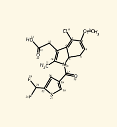 COC1=CCC2C(=C1Cl)C(CC(=O)O)=C(C)N2C(=O)c1csc(C(F)F)c1